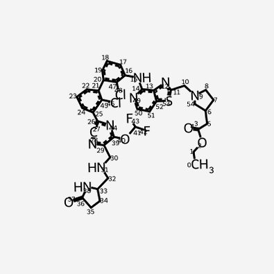 CCOC(=O)CC1CCN(Cc2nc3c(Nc4cccc(-c5cccc(-c6cnc(CNCC7CCC(=O)N7)c(OC(F)F)n6)c5Cl)c4Cl)nccc3s2)C1